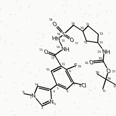 Cn1cnc(-c2cc(Cl)c(F)c(C(=O)NNS(=O)(=O)CC3CCC(NC(=O)OC(C)(C)C)C3)c2)c1